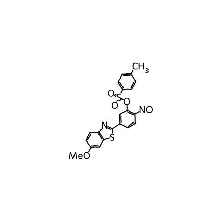 COc1ccc2nc(-c3ccc(N=O)c(OS(=O)(=O)c4ccc(C)cc4)c3)sc2c1